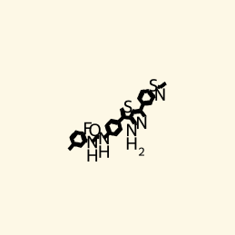 Cc1ccc(F)c(NC(=O)Nc2ccc(-c3csc4c(-c5ccc6sc(C)nc6c5)cnc(N)c34)cc2)c1